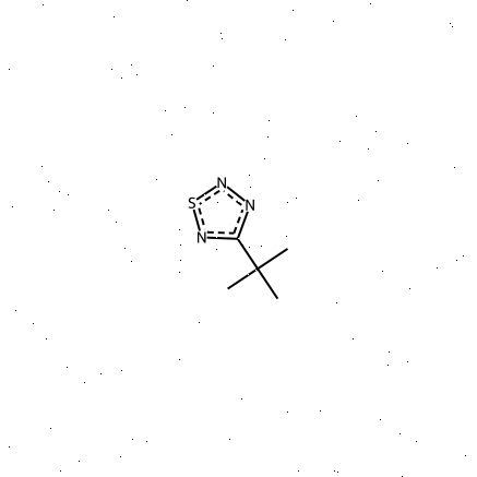 CC(C)(C)c1nnsn1